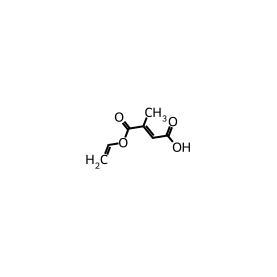 C=COC(=O)C(C)=CC(=O)O